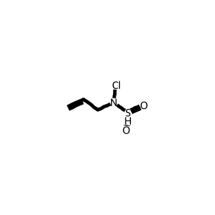 C=CCN(Cl)[SH](=O)=O